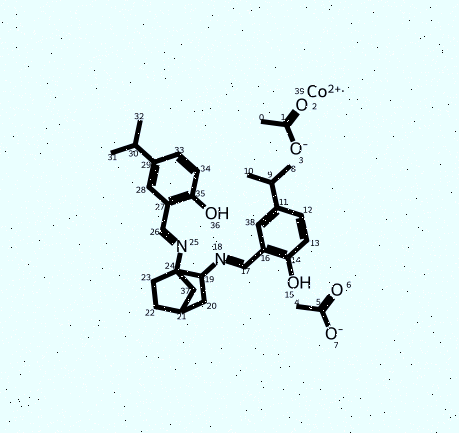 CC(=O)[O-].CC(=O)[O-].CC(C)c1ccc(O)c(C=NC2CC3CCC2(N=Cc2cc(C(C)C)ccc2O)C3)c1.[Co+2]